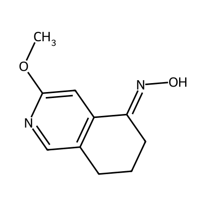 COc1cc2c(cn1)CCC/C2=N\O